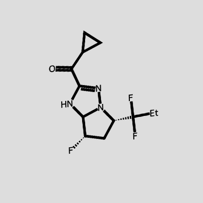 CCC(F)(F)[C@@H]1C[C@H](F)C2NC(C(=O)C3CC3)=NN21